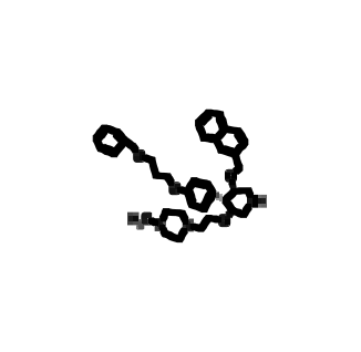 CN1CCN(CCO[C@@H]2CNC[C@H](OCc3ccc4ccccc4c3)[C@H]2c2ccc(OCCCOCc3ccccc3)cc2)CC1